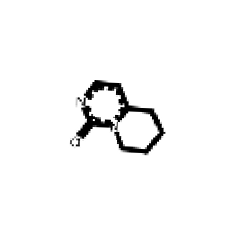 O=c1nccc2n1CCCC2